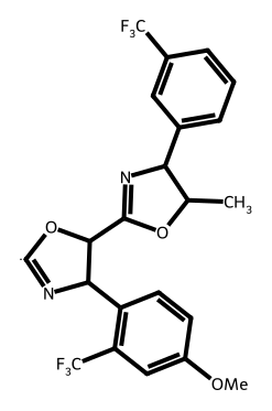 COc1ccc(C2N=[C]OC2C2=NC(c3cccc(C(F)(F)F)c3)C(C)O2)c(C(F)(F)F)c1